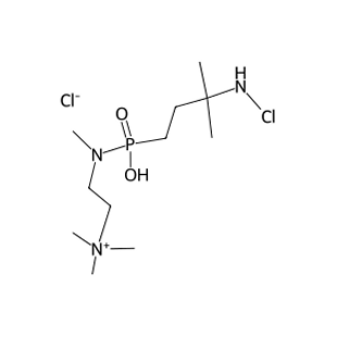 CN(CC[N+](C)(C)C)P(=O)(O)CCC(C)(C)NCl.[Cl-]